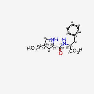 O=C(O)[C@H](Cc1ccccc1)NC(=O)[C@@H]1C[C@@H](S(=O)(=O)O)CN1